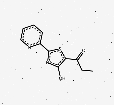 CCC(=O)c1sc(-c2ccccn2)nc1O